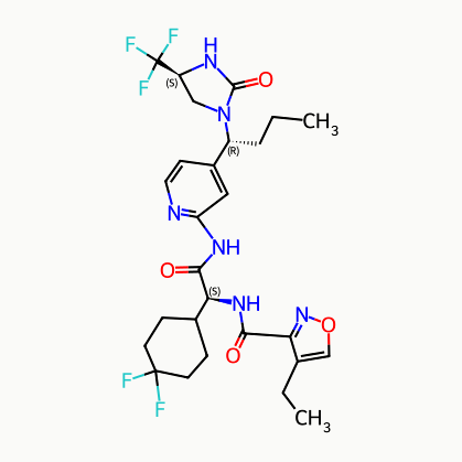 CCC[C@H](c1ccnc(NC(=O)[C@@H](NC(=O)c2nocc2CC)C2CCC(F)(F)CC2)c1)N1C[C@@H](C(F)(F)F)NC1=O